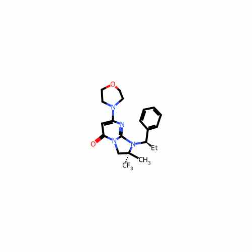 CC[C@H](c1ccccc1)N1c2nc(N3CCOCC3)cc(=O)n2C[C@@]1(C)C(F)(F)F